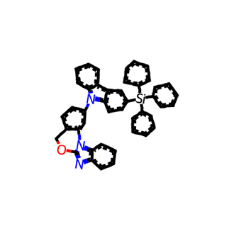 c1ccc([Si](c2ccccc2)(c2ccccc2)c2ccc3c(c2)c2ccccc2n3-c2ccc3c(c2)-n2c(nc4ccccc42)OC3)cc1